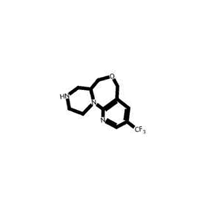 FC(F)(F)c1cnc2c(c1)COCC1CNCCN21